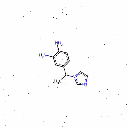 CC(c1ccc(N)c(N)c1)n1ccnc1